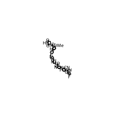 COc1ccc(N2CCC(CN3CCN(c4ncc(-n5cnc6ccc(Oc7c(F)ccc(NS(=O)(=O)N8CC[C@@H](F)C8)c7C#N)cc6c5=O)cn4)CC3)CC2)cc1C(=O)NC1CCC(=O)NC1=O